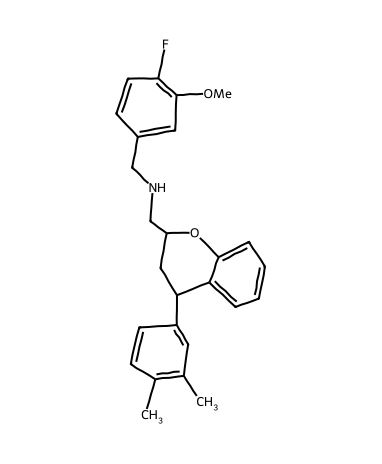 COc1cc(CNCC2CC(c3ccc(C)c(C)c3)c3ccccc3O2)ccc1F